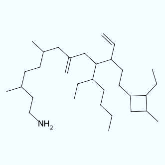 C=CC(CCC1CC(C)C1CC)C(CC(=C)CC(C)CCC(C)CCN)C(CC)CCCC